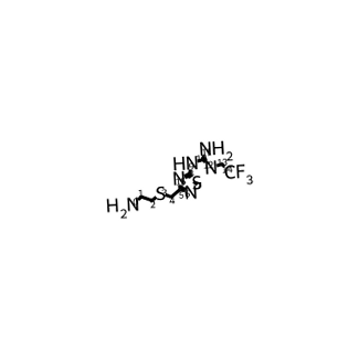 NCCSCc1nsc(NC(N)=NCC(F)(F)F)n1